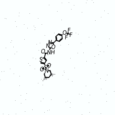 C[C@@H]1C[C@H](C)CN(S(=O)(=O)c2csc(C(=O)Nc3nnc(-c4ccc(OC(F)(F)F)cc4)o3)c2)C1